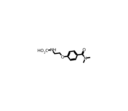 CN(C)C(=O)c1ccc(OCCNC(=O)O)cc1